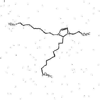 CCCCCCCCCCCCCCCCCCC1N(CCCCCCCCCCCC)C=CN1CCCCCCCCCCCCCCCCCC